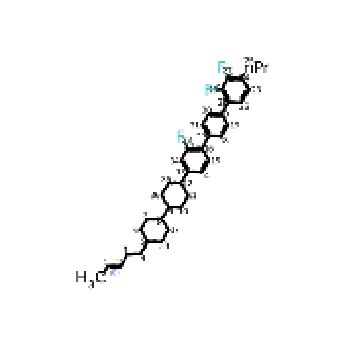 C/C=C/CCC1CCC(C2CCC(c3ccc(-c4ccc(-c5ccc(CCC)c(F)c5F)cc4)c(F)c3)CC2)CC1